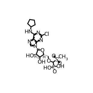 CS(=O)(=O)C(OC[C@H]1O[C@@H](n2cnc3c(NC4CCCC4)nc(Cl)nc32)[C@H](O)[C@@H]1O)P(=O)(O)O